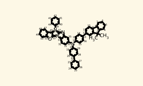 CC1(C)c2ccccc2-c2ccc(-c3ccc(N(c4ccc(-c5ccccc5)cc4)c4ccc5c(c4)nc4n(-c6ccccc6)c6c7ccccc7oc6n54)cc3)cc21